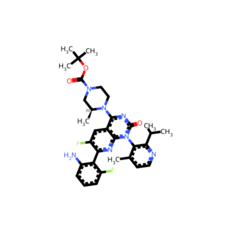 Cc1ccnc(C(C)C)c1-n1c(=O)nc(N2CCN(C(=O)OC(C)(C)C)C[C@@H]2C)c2cc(F)c(-c3c(N)cccc3F)nc21